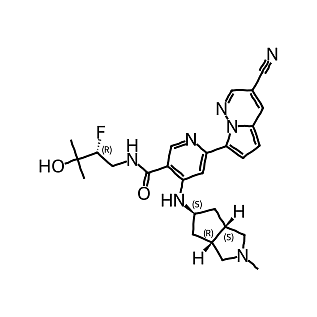 CN1C[C@H]2C[C@H](Nc3cc(-c4ccc5cc(C#N)cnn45)ncc3C(=O)NC[C@@H](F)C(C)(C)O)C[C@H]2C1